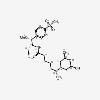 CO[C@H](c1ccc(S(C)(=O)=O)cc1)[C@@H](CF)NC(=O)CCCCN(C)[C@@H]1CC(O)O[C@H](C)C1